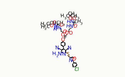 C[C@H](NC(=O)OC(C)(C)C)C(=O)NCCC(=O)OC[C@@H](COc1ccc(-c2c(C#N)c(N)nc(SCc3coc(-c4ccc(Cl)cc4)n3)c2C#N)cc1)OC(=O)CCNC(=O)[C@H](C)NC(=O)OC(C)(C)C